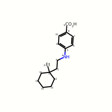 CCC1(CCNc2ccc(C(=O)O)cc2)CCCCC1